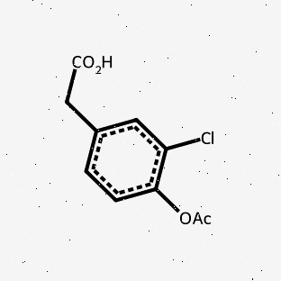 CC(=O)Oc1ccc(CC(=O)O)cc1Cl